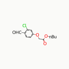 CCCCOC(=O)COc1ccc(C=O)c(Cl)c1